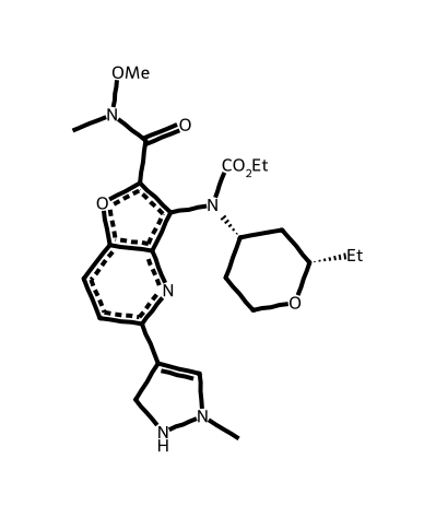 CCOC(=O)N(c1c(C(=O)N(C)OC)oc2ccc(C3=CN(C)NC3)nc12)[C@H]1CCO[C@@H](CC)C1